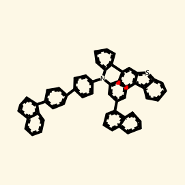 c1cc(-c2cccc3ccccc23)cc(N(c2ccc(-c3ccc(-c4cccc5ccccc45)cc3)cc2)c2ccccc2-c2ccc3c(c2)sc2ccccc23)c1